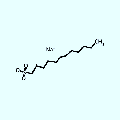 CCCCCCCCCC[CH]CS(=O)(=O)[O-].[Na+]